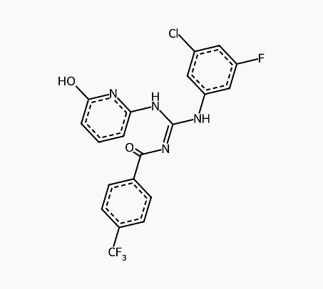 O=C(/N=C(/Nc1cc(F)cc(Cl)c1)Nc1cccc(O)n1)c1ccc(C(F)(F)F)cc1